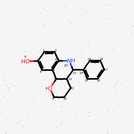 Oc1ccc2c(c1)C1OCCCC1C(c1ccccc1)N2